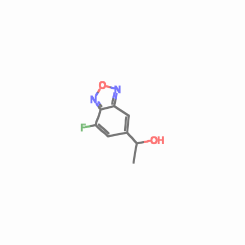 CC(O)c1cc(F)c2nonc2c1